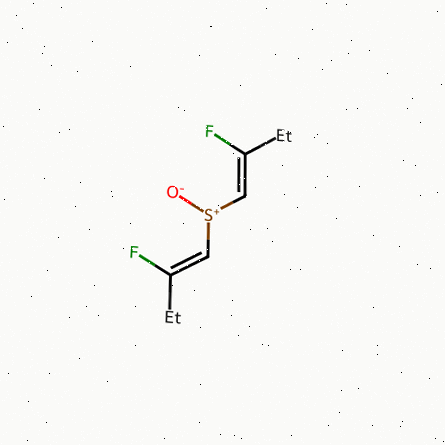 CCC(F)=C[S+]([O-])C=C(F)CC